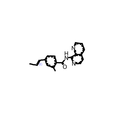 C/C=C/c1ccc(C(=O)Nc2nccc3cccnc23)c(C)c1